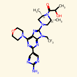 CC(O)C(=O)N1[C@H](C)CN(c2nc3c(N4CCOCC4)nc(-c4cnc(N)nc4)nc3n2CC(F)(F)F)C[C@@H]1C